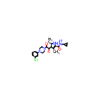 CC1=C(C(=O)NC2CC2)NC(C)C1C(=O)C(=O)N1CCN(c2cccc(Cl)c2)CC1